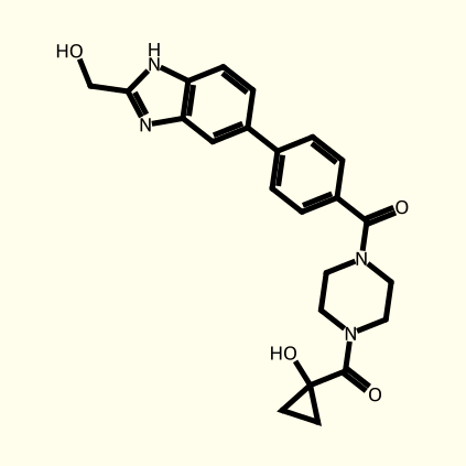 O=C(c1ccc(-c2ccc3[nH]c(CO)nc3c2)cc1)N1CCN(C(=O)C2(O)CC2)CC1